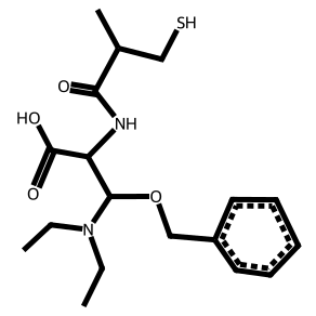 CCN(CC)C(OCc1ccccc1)C(NC(=O)C(C)CS)C(=O)O